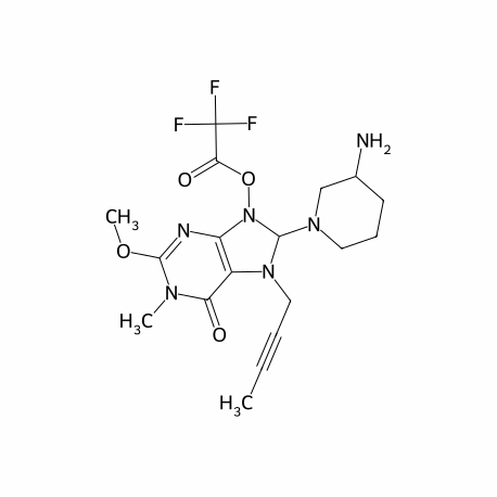 CC#CCN1c2c(nc(OC)n(C)c2=O)N(OC(=O)C(F)(F)F)C1N1CCCC(N)C1